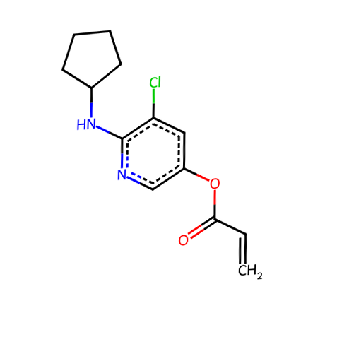 C=CC(=O)Oc1cnc(NC2CCCC2)c(Cl)c1